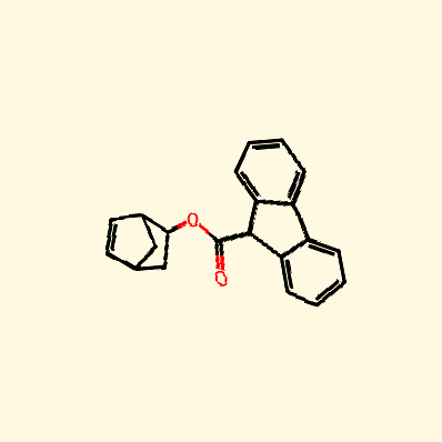 O=C(OC1CC2C=CC1C2)C1c2ccccc2-c2ccccc21